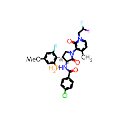 COc1cc(F)c([C@@H]2CN(c3c(C)ccn(CC(F)I)c3=O)C(=O)[C@H]2NC(=O)c2ccc(Cl)cc2)c(P)c1